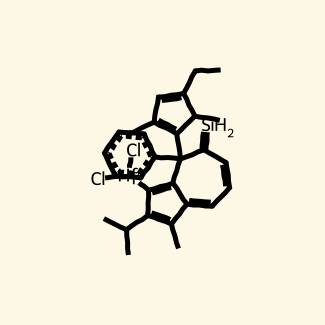 CCC1=CC(C)=C(C2(c3ccccc3)C(=[SiH2])C=CC=C3C(C)=C(C(C)C)[C]([Hf]([Cl])[Cl])=C32)C1C